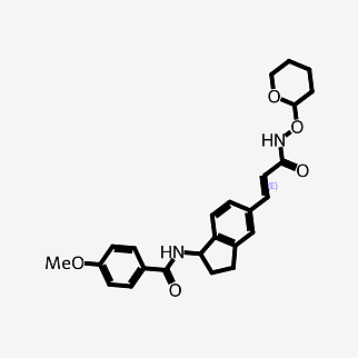 COc1ccc(C(=O)NC2CCc3cc(/C=C/C(=O)NOC4CCCCO4)ccc32)cc1